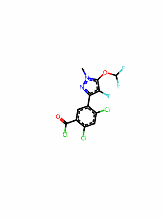 Cn1nc(-c2cc(C(=O)Cl)c(Cl)cc2Cl)c(F)c1OC(F)F